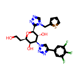 OCC[C@H]1O[C@@H](c2nncn2Cc2cccs2)[C@H](O)[C@@H](n2cc(-c3cc(F)c(F)c(F)c3)nn2)[C@H]1O